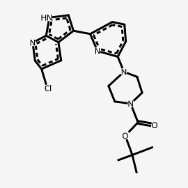 CC(C)(C)OC(=O)N1CCN(c2cccc(-c3c[nH]c4ncc(Cl)cc34)n2)CC1